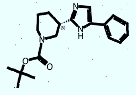 CC(C)(C)OC(=O)N1CCC[C@H](c2ncc(-c3ccccc3)[nH]2)C1